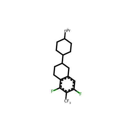 CCCC1CCC(C2CCc3c(cc(F)c(C(F)(F)F)c3F)C2)CC1